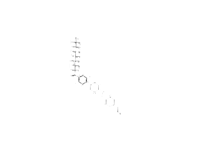 CCC[C@H]1CC[C@H](CC[C@H]2CC[C@H](c3ccc(C(=O)C(F)(F)C(F)(F)C(F)(F)C(F)(F)C(F)(F)C(F)(F)C(F)(F)F)cc3)CC2)CC1